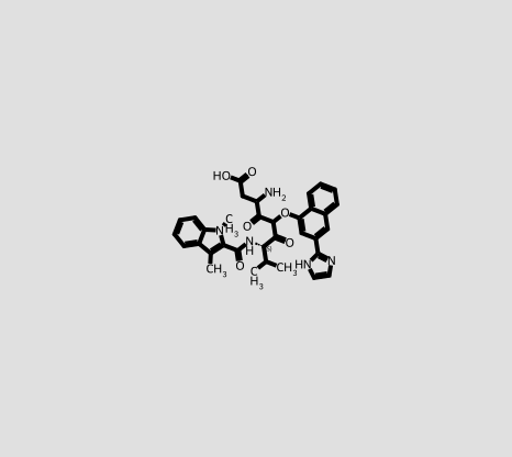 Cc1c(C(=O)N[C@H](C(=O)C(Oc2cc(-c3ncc[nH]3)cc3ccccc23)C(=O)C(N)CC(=O)O)C(C)C)n(C)c2ccccc12